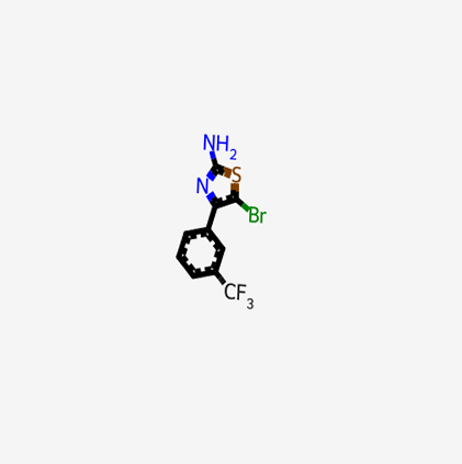 Nc1nc(-c2cccc(C(F)(F)F)c2)c(Br)s1